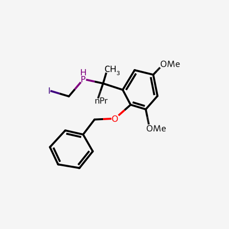 CCCC(C)(PCI)c1cc(OC)cc(OC)c1OCc1ccccc1